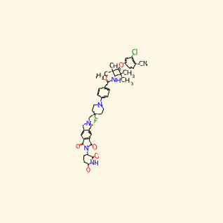 CC1(C)[C@H](NC(=O)c2ccc(N3CCC(F)(CN4Cc5cc6c(cc5C4)C(=O)N(C4CCC(=O)NC4=O)C6=O)CC3)cc2)C(C)(C)[C@H]1Oc1ccc(C#N)c(Cl)c1